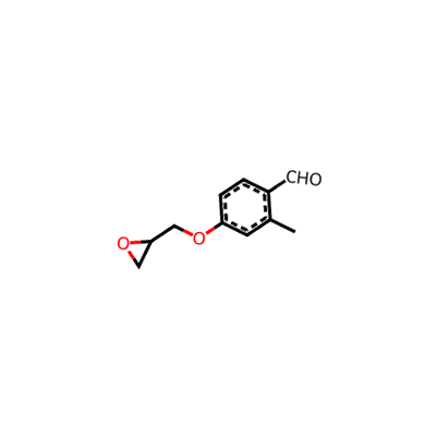 Cc1cc(OCC2CO2)ccc1C=O